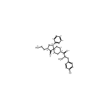 N[C@H](Cc1ccc(Cl)cc1)C(=O)N1CCC2(CC1)C(=O)N(CCO)CN2c1ccccc1